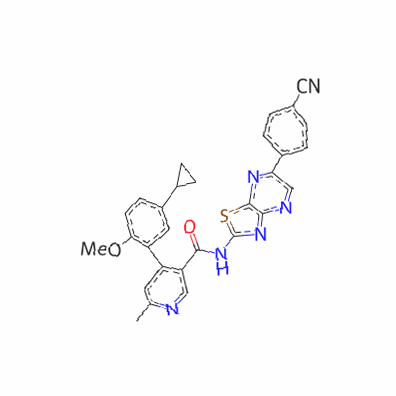 COc1ccc(C2CC2)cc1-c1cc(C)ncc1C(=O)Nc1nc2ncc(-c3ccc(C#N)cc3)nc2s1